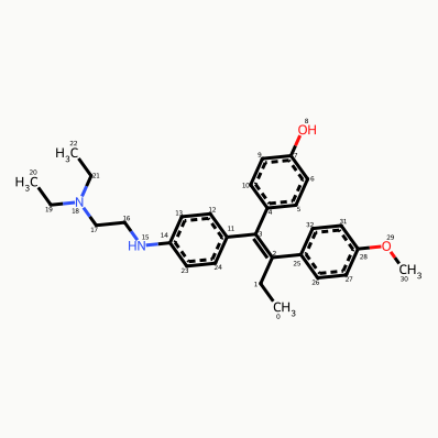 CCC(=C(c1ccc(O)cc1)c1ccc(NCCN(CC)CC)cc1)c1ccc(OC)cc1